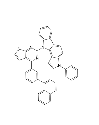 c1ccc(-n2ccc3c2ccc2c4ccccc4n(-c4nc(-c5cccc(-c6cccc7ccccc67)c5)c5ccsc5n4)c23)cc1